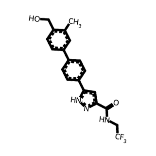 Cc1cc(-c2ccc(-c3cc(C(=O)NCC(F)(F)F)n[nH]3)cc2)ccc1CO